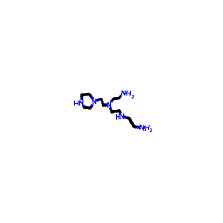 NCCNCCN(CCN)CCN1CCNCC1